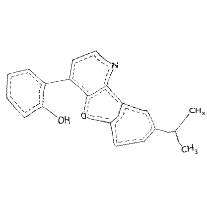 CC(C)c1ccc2oc3c(-c4ccccc4O)ccnc3c2c1